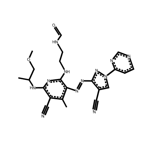 COCC(C)Nc1nc(NCCNC=O)c(N=Nc2nn(-c3ccncn3)cc2C#N)c(C)c1C#N